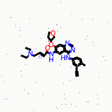 C#Cc1cc(Nc2ncnc3cc(O[C@H]4CCOC4)c(NC(=O)/C=C/CN(CC)CC)cc23)ccc1C